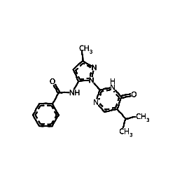 Cc1cc(NC(=O)c2ccccc2)n(-c2ncc(C(C)C)c(=O)[nH]2)n1